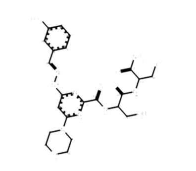 Cc1cccc(/C=N/Nc2cc(N3CCOCC3)nc(C(=O)NC(CO)C(=O)NC(CC(C)C)C(N)=O)n2)c1